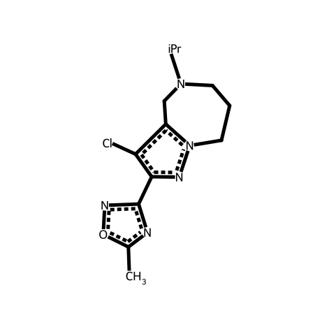 Cc1nc(-c2nn3c(c2Cl)CN(C(C)C)CCC3)no1